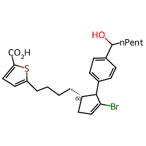 CCCCCC(O)c1ccc(C2C(Br)=CC[C@@H]2CCCCc2ccc(C(=O)O)s2)cc1